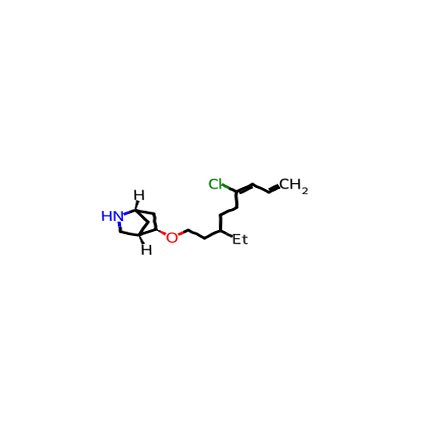 C=C/C=C(/Cl)CCC(CC)CCO[C@@H]1C[C@@H]2C[C@H]1CN2